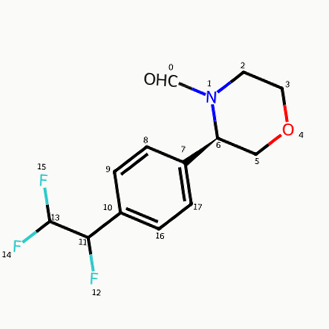 O=CN1CCOC[C@H]1c1ccc(C(F)C(F)F)cc1